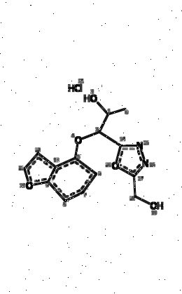 CC(O)C(Oc1cccc2occc12)c1nnc(CO)o1.Cl